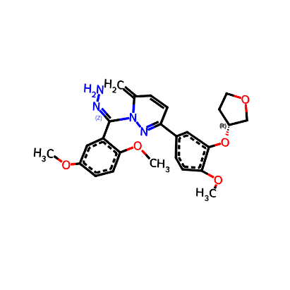 C=C1C=CC(c2ccc(OC)c(O[C@@H]3CCOC3)c2)=NN1/C(=N\N)c1cc(OC)ccc1OC